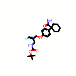 CC(C)(C)OC(=O)NC/C(=C\F)COc1ccc(C2(C(N)=O)CCCCC2)cc1